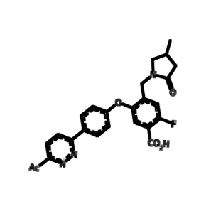 CC(=O)c1ccc(-c2ccc(Oc3cc(C(=O)O)c(F)cc3CN3CC(C)CC3=O)cc2)nn1